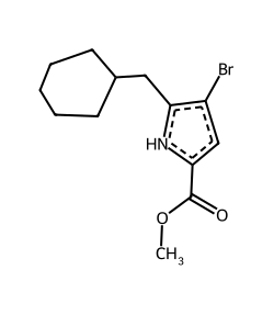 COC(=O)c1cc(Br)c(CC2CCCCC2)[nH]1